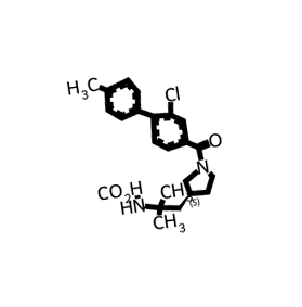 Cc1ccc(-c2ccc(C(=O)N3CC[C@@H](CC(C)(C)NC(=O)O)C3)cc2Cl)cc1